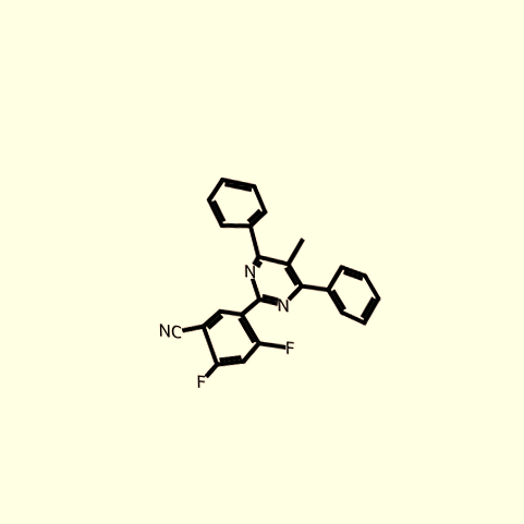 Cc1c(-c2ccccc2)nc(-c2cc(C#N)c(F)cc2F)nc1-c1ccccc1